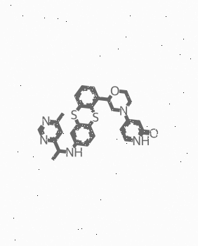 Cc1cc(C(C)Nc2ccc3c(c2)Sc2cccc(C4CN(c5cc[nH]c(=O)c5)CCO4)c2S3)ncn1